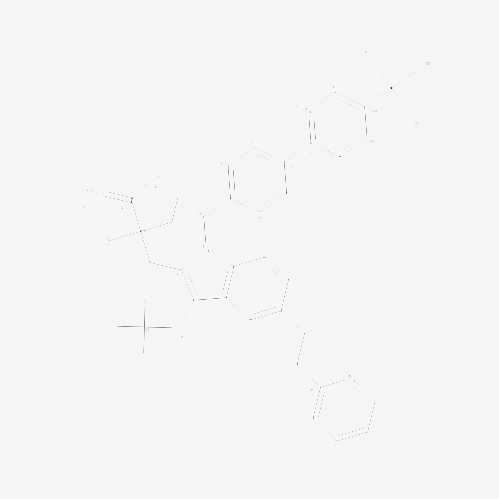 CCC(CC)(Cc1c(SC(C)(C)C)c2cc(CCc3ccccn3)ccc2n1Cc1ccc(-c2ccc(C(F)(F)F)cn2)cc1)C(=O)O